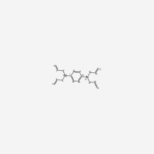 C=CCN(CC=C)c1[c]cc(N(CC=C)CC=C)cc1